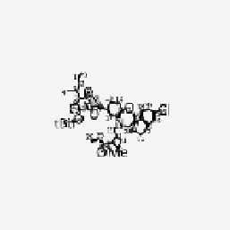 C=CCC(C)C(C)S(=O)(=NC(=O)c1ccc2c(c1)N(CC1CCC1C(C=C)OC)CC1(CCCc3cc(Cl)ccc31)CO2)NC(=O)OC(C)(C)C